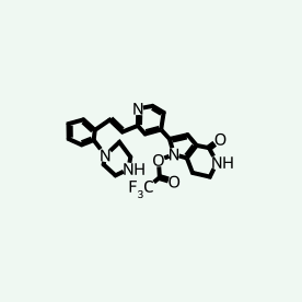 O=C1NCCc2c1cc(-c1ccnc(C=Cc3ccccc3N3CCNCC3)c1)n2OC(=O)C(F)(F)F